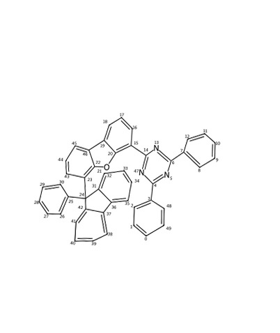 c1ccc(-c2nc(-c3ccccc3)nc(-c3cccc4c3oc3c(C5(c6ccccc6)c6ccccc6-c6ccccc65)cccc34)n2)cc1